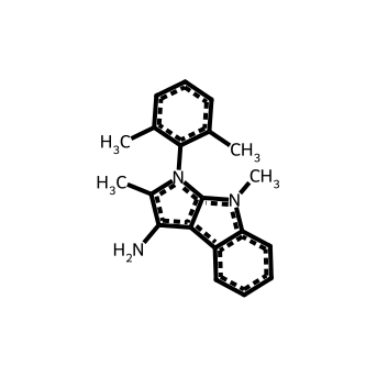 Cc1cccc(C)c1-n1c(C)c(N)c2c3ccccc3n(C)c21